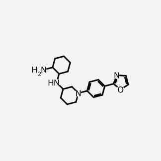 NC1CCCCC1NC1CCCN(c2ccc(-c3ncco3)cc2)C1